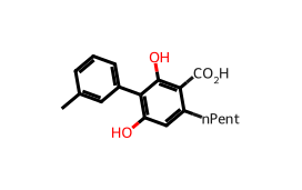 CCCCCc1cc(O)c(-c2cccc(C)c2)c(O)c1C(=O)O